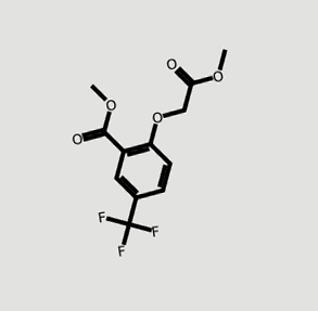 COC(=O)COc1ccc(C(F)(F)F)cc1C(=O)OC